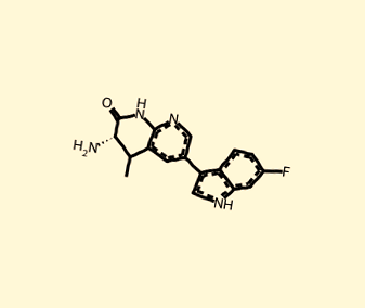 CC1c2cc(-c3c[nH]c4cc(F)ccc34)cnc2NC(=O)[C@H]1N